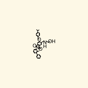 Cc1c(-c2ccccc2)cccc1N1C(=O)c2cc(CNCCO)c(OCc3ccc(C(C)C)cc3)cc2C1=O